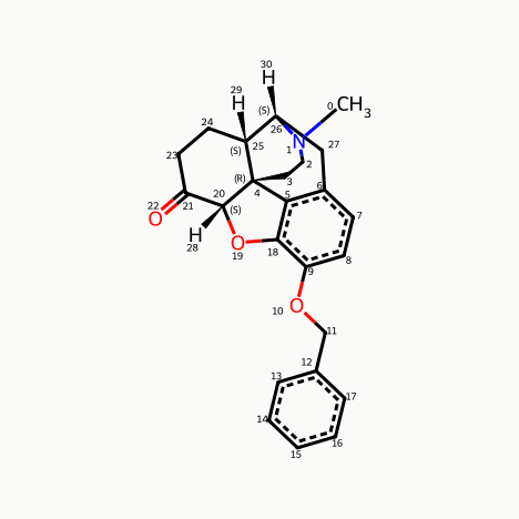 CN1CC[C@@]23c4c5ccc(OCc6ccccc6)c4O[C@@H]2C(=O)CC[C@@H]3[C@@H]1C5